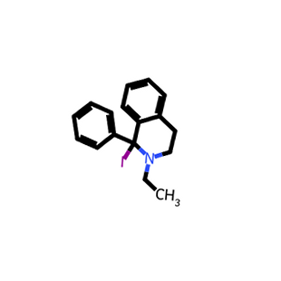 CCN1CCc2ccccc2C1(I)c1ccccc1